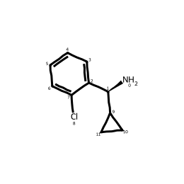 N[C@H](c1ccccc1Cl)C1CC1